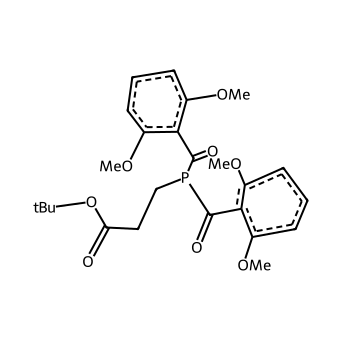 COc1cccc(OC)c1C(=O)P(CCC(=O)OC(C)(C)C)C(=O)c1c(OC)cccc1OC